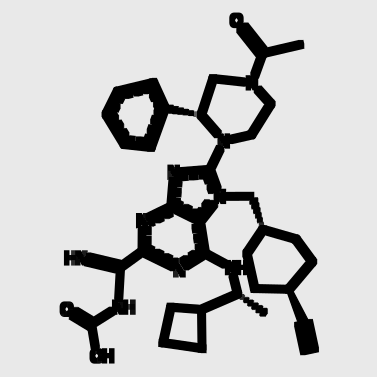 C#C[C@H]1CC[C@H](Cn2c(N3CCN(C(C)=O)C[C@H]3c3ccccc3)nc3nc(C(=N)NC(=O)O)nc(N[C@H](C)C4CCC4)c32)CC1